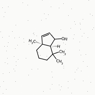 CC1(C)CCC[C@@]2(C)C=CC(O)[C@@H]12